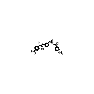 COC(=O)c1ccc(NC(=O)Cc2cccc(CC(C)(C)NC[C@@H](O)c3ccc(N)nc3)c2)c(O)c1